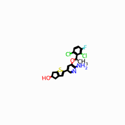 C[C@@H](Oc1cc(-c2cc3c(s2)CC(O)C3)cnc1N)c1c(Cl)ccc(F)c1Cl